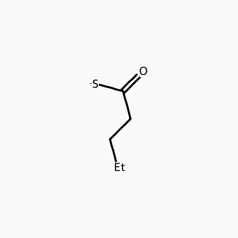 CCCCC(=O)[S]